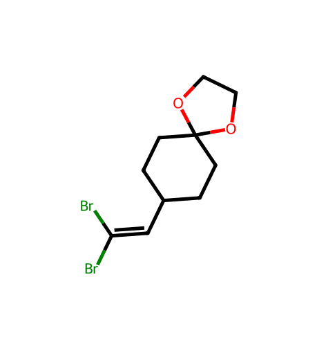 BrC(Br)=CC1CCC2(CC1)OCCO2